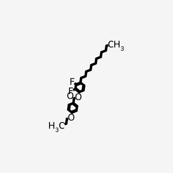 CCCCCCCCCCCCc1ccc(OC(=O)c2ccc(OCCC)cc2)c(F)c1F